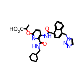 CC(Oc1ccc(NC(=O)c2ccc(Cn3ccnn3)c3ccccc23)c(C(=O)NCC2CCCCC2)n1)C(=O)O